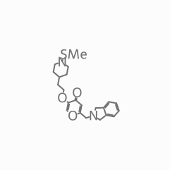 CSN1CCC(CCOc2coc(CN3Cc4ccccc4C3)cc2=O)CC1